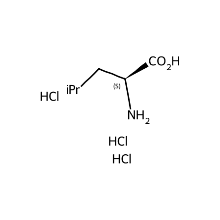 CC(C)C[C@H](N)C(=O)O.Cl.Cl.Cl